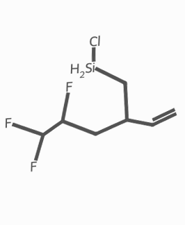 C=CC(C[SiH2]Cl)CC(F)C(F)F